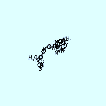 Cn1nc(C2CCC(=O)NC2=O)c2ccc(C3CCN(CC4CCN(c5cc(Nc6ccc7c(c6)c6c(c(=O)n7C)OCC(F)(F)[C@H](C7CC7)N6)n6ncc(C#N)c6n5)CC4)CC3)cc21